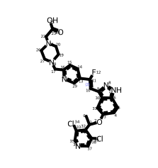 CC(Oc1ccc2[nH]nc(/C=C(\F)c3ccc(CN4CCN(CC(=O)O)CC4)nc3)c2c1)c1c(Cl)cncc1Cl